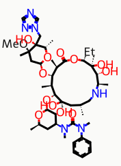 CC[C@H]1OC(=O)[C@H](C)[C@@H](O[C@H]2C[C@@](C)(OC)[C@](O)(Cn3cncn3)[C@H](C)O2)[C@H](C)[C@@H](O[C@@H]2O[C@H](C)C[C@H](N(C)C(=O)N(C)c3ccccc3)[C@H]2O)[C@](C)(O)C[C@@H](C)CN[C@H](C)[C@@H](O)[C@]1(C)O